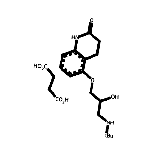 CC(C)(C)NCC(O)COc1cccc2c1CCC(=O)N2.O=C(O)CCC(=O)O